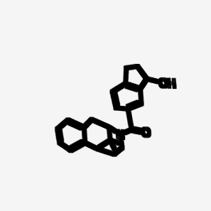 CC1(C)C2CCN(C(=O)c3ccc4c(c3)C(O)CC4)C1Cc1ccccc12